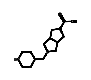 O=C(O)N1CC2CN(CC3CCNCC3)CC2C1